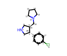 Clc1ccc([C@@H]2CNC[C@H]2CN2CCCC2)cc1